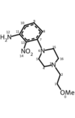 COCCN1CCN(c2cccc(N)c2[N+](=O)[O-])CC1